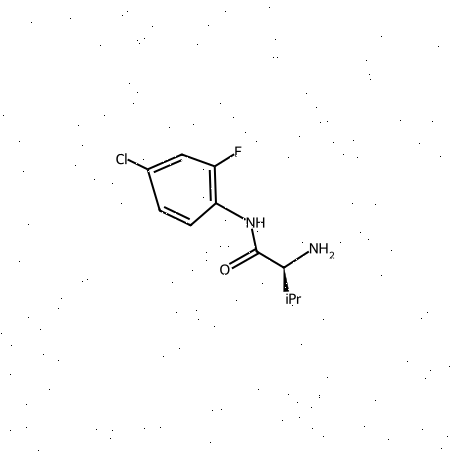 CC(C)[C@H](N)C(=O)Nc1ccc(Cl)cc1F